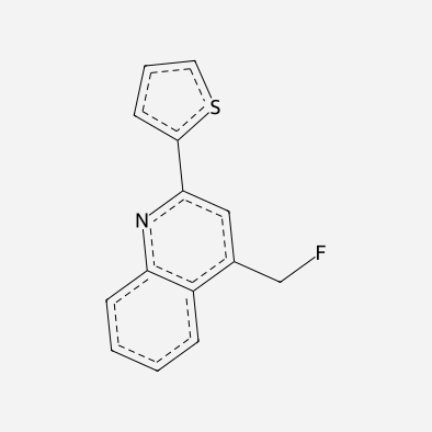 FCc1cc(-c2cccs2)nc2ccccc12